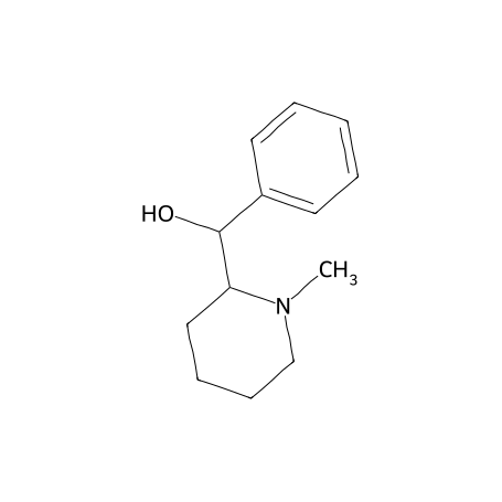 CN1CCCCC1C(O)c1ccccc1